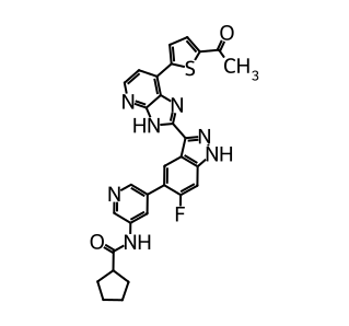 CC(=O)c1ccc(-c2ccnc3[nH]c(-c4n[nH]c5cc(F)c(-c6cncc(NC(=O)C7CCCC7)c6)cc45)nc23)s1